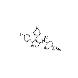 COc1ccc(N(C(C)=O)c2onc(-c3ccc(F)cc3)c2-c2ccncn2)cc1